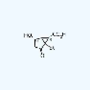 CCC12C(=O)C[C@H](O)C1[C@@H]2C(=O)O